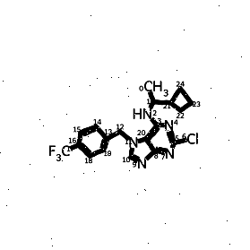 CC(Nc1nc(Cl)nc2ncn(Cc3ccc(C(F)(F)F)cc3)c12)C1CCC1